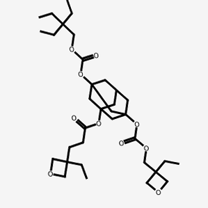 CCC1(CCC(=O)OC23CC4CC(OC(=O)OCC(CC)(CC)CC)(C2)CC(OC(=O)OCC2(CC)COC2)(C4)C3)COC1